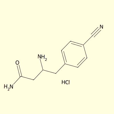 Cl.N#Cc1ccc(CC(N)CC(N)=O)cc1